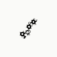 C=Cc1ccccc1N1CCO[C@@H](c2ccc(Oc3ccc(C)cc3)cc2)C1